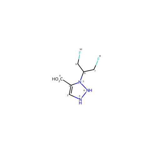 O=C(O)C1=CNNN1C(CF)CF